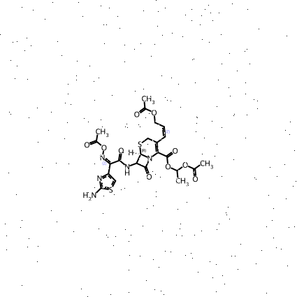 CC(=O)OC/C=C\C1=C(C(=O)OC(C)OC(C)=O)N2C(=O)C(NC(=O)/C(=N\OC(C)=O)c3csc(N)n3)[C@H]2SC1